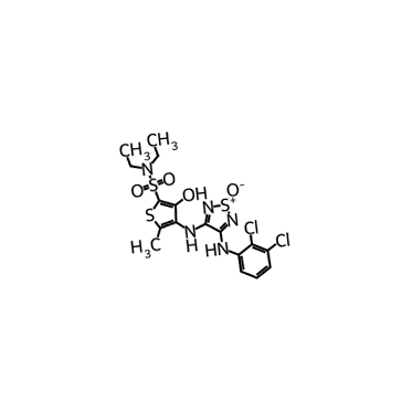 CCN(CC)S(=O)(=O)c1sc(C)c(Nc2n[s+]([O-])nc2Nc2cccc(Cl)c2Cl)c1O